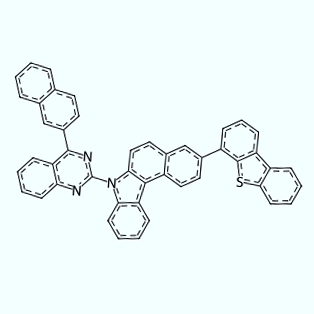 c1ccc2cc(-c3nc(-n4c5ccccc5c5c6ccc(-c7cccc8c7sc7ccccc78)cc6ccc54)nc4ccccc34)ccc2c1